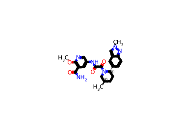 COc1ncc(NC(=O)C(=O)N2C[C@H](C)CC[C@H]2c2ccc3nn(C)cc3c2)cc1C(N)=O